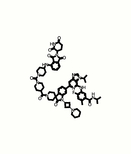 Cc1cc(F)c(Nc2nc(-c3ccc4c(c3)N([C@H]3C[C@@H](N5CCCCC5)C3)C(=O)C43CCN(C(=O)C4CCN(C(=O)N5CCC(Nc6cccc7c6C(=O)N(C6CCC(=O)NC6=O)C7=O)CC5)CC4)CC3)cc3ncn(C(C)C)c23)cc1C(=O)NC(C)C